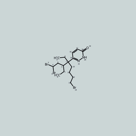 CCC(CC(Br)Br)C(CC)(CCCCBr)c1ccc(=O)[nH]n1